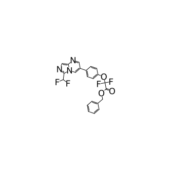 O=C(OCc1ccccc1)C(F)(F)Oc1ccc(-c2cnc3cnc(C(F)F)n3c2)cc1